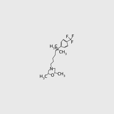 CC1CN(CCCCC[Si](C)(C)c2ccc(C(F)(F)F)cc2)CC(C)O1